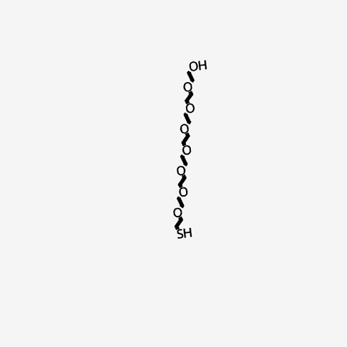 OCCOCCOCCOCCOCCOCCOCCOCCS